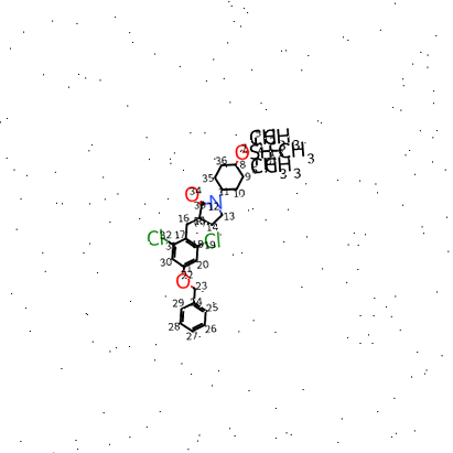 CC(C)(C)[Si](C)(C)O[C@H]1CC[C@H](N2CC[C@@H](Cc3c(Cl)cc(OCc4ccccc4)cc3Cl)C2=O)CC1